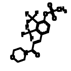 CS(=O)(=O)Oc1ccc(C=CC(=O)N2CCOCC2)c(C(F)(F)F)c1C(F)(F)F